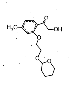 Cc1ccc(C(=O)CO)c(OCCOC2CCCCO2)c1